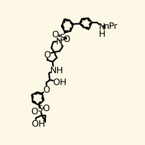 CCCNCc1ccc(-c2cccc(S(=O)(=O)N3CCC4(CC3)CC(NCC(O)COc3cccc(S(=O)(=O)C5(CO)CC5)c3)CO4)c2)cc1